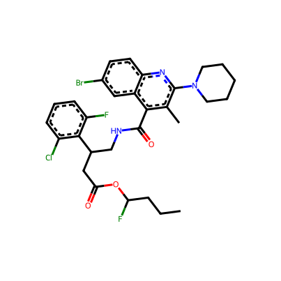 CCCC(F)OC(=O)CC(CNC(=O)c1c(C)c(N2CCCCC2)nc2ccc(Br)cc12)c1c(F)cccc1Cl